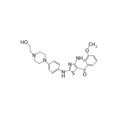 COc1cccc(C(=O)c2sc(Nc3ccc(N4CCN(CCO)CC4)cc3)nc2N)c1